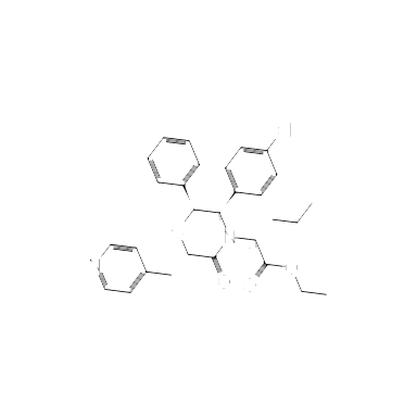 CCC[C@H](C(=O)OCC)N1C(=O)[C@H](Cc2ccncc2)O[C@@H](c2ccccc2)[C@H]1c1ccc(Cl)cc1